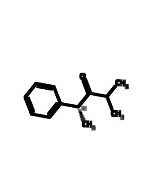 CC(C)C(=O)[C@H](C)c1ccccc1